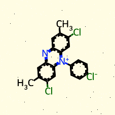 Cc1cc2nc3cc(C)c(Cl)cc3[n+](-c3ccccc3)c2cc1Cl.[Cl-]